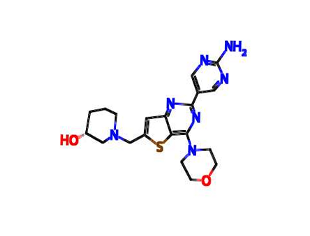 Nc1ncc(-c2nc(N3CCOCC3)c3sc(CN4CCC[C@@H](O)C4)cc3n2)cn1